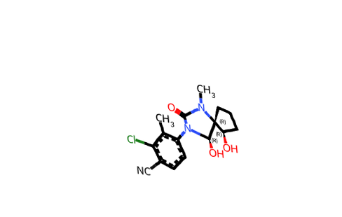 Cc1c(N2C(=O)N(C)[C@@]3(CCC[C@H]3O)[C@H]2O)ccc(C#N)c1Cl